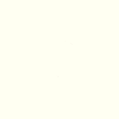 CC1C=c2c(c(C3=CC(NC[S+](C)[O-])=CCC3C)cn(C)c2=O)=CC1